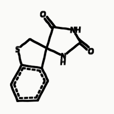 O=C1NC(=O)C2(CSc3ccccc32)N1